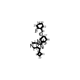 N[N+]12C=CN=CC1=C(C1=CC=C1)N=C2c1cccc(OCc2ccccc2F)c1